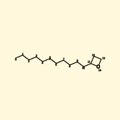 CCCCC[CH]CCCCCC1CCO1